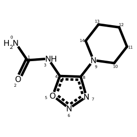 NC(=O)Nc1onnc1N1CCCCC1